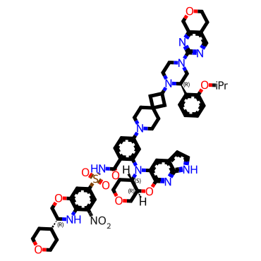 CC(C)Oc1ccccc1[C@@H]1CN(c2ncc3c(n2)COCC3)CCN1C1CC2(CCN(c3ccc(C(=O)NS(=O)(=O)c4cc5c(c([N+](=O)[O-])c4)N[C@H](C4CCOCC4)CO5)c(N4c5cc6cc[nH]c6nc5O[C@H]5COCC[C@@H]54)c3)CC2)C1